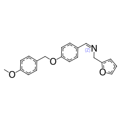 COc1ccc(COc2ccc(/C=N\Cc3ccco3)cc2)cc1